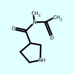 CC(=O)N(C)C(=O)C1CCNC1